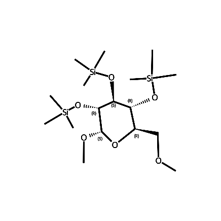 COC[C@H]1O[C@H](OC)[C@H](O[Si](C)(C)C)[C@@H](O[Si](C)(C)C)[C@@H]1O[Si](C)(C)C